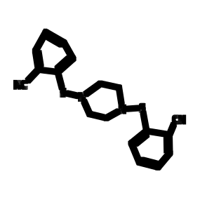 N#Cc1ccccc1SN1CCN(Sc2ccccc2C#N)CC1